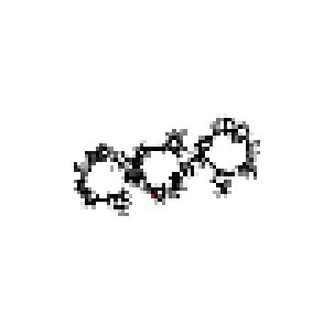 CC(C)[C@@H]1OC(=O)[C@]2(/C=C/c3ccc4ccc(nc4c3)[C@@H](C)NC(=O)[C@@H]3CCCN(N3)C(=O)[C@H](Cc3cc4nc5cc(ccc35)/C=C/C3(CCC(O)CC3)C(=O)O[C@@H](C(C)Cc3cc5cc6nc(ccc36)[C@@H](C)NC(=O)[C@@H]3CCCN(N3)C(=O)[C@H](C)NC(=O)[C@@H](C(C)C)OC(=O)[C@]3(/C=C/5)CC[C@H](O)CC3)C(=O)N[C@@H](C)C(=O)N3CCCC(C)(N3)C(=O)N[C@@H]4C)NC1=O)COCCO2